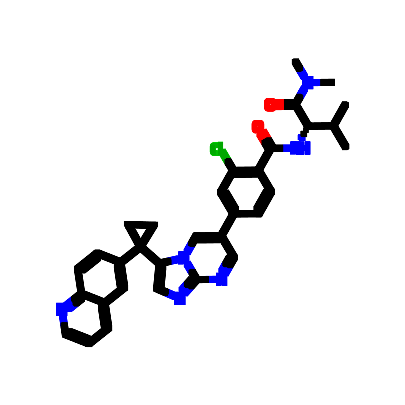 CC(C)[C@H](NC(=O)c1ccc(-c2cnc3ncc(C4(c5ccc6ncccc6c5)CC4)n3c2)cc1Cl)C(=O)N(C)C